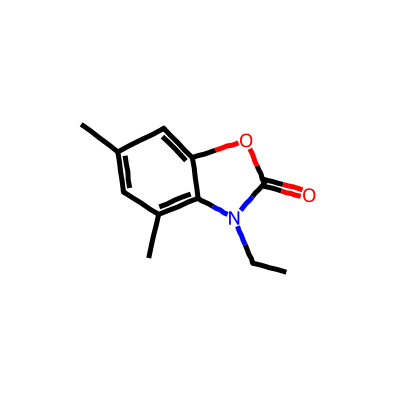 CCn1c(=O)oc2cc(C)cc(C)c21